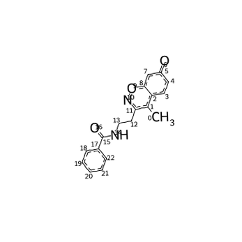 Cc1c2ccc(=O)cc-2onc1CCNC(=O)c1ccccc1